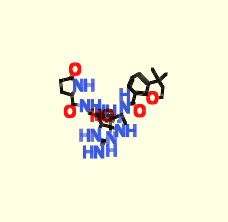 CC1(C)CCOc2c(C(=O)NC3CNC4(NC(=N)NC4[C@@H](N)CNC(=O)C4CCC(=O)N4)[C@@H]3O)cccc21